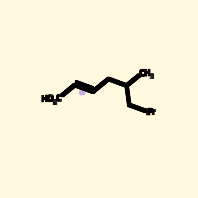 CC(C)CC(C)C/C=C/C(=O)O